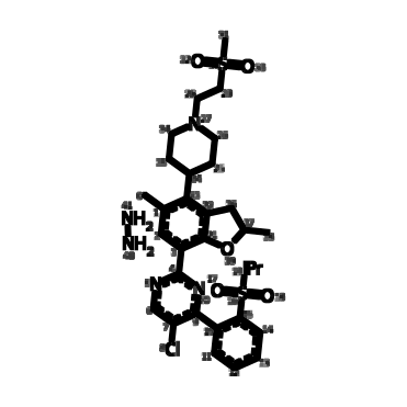 Cc1cc(-c2ncc(Cl)c(-c3ccccc3S(=O)(=O)C(C)C)n2)c2c(c1C1CCN(CCS(C)(=O)=O)CC1)CC(C)O2.NN